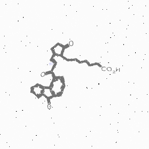 O=C(O)CCCCCCC1C(=O)CCC1/C=C/C(=O)c1cccc2c1-c1ccccc1C2=O